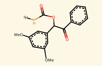 [2H]PC(=O)OC(C(=O)c1ccccc1)c1cc(OC)cc(OC)c1